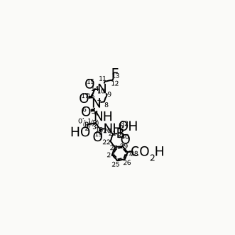 C[C@@H](O)[C@@H](NC(=O)N1CCN(CCF)C(=O)C1=O)C(=O)NC1Cc2cccc(C(=O)O)c2OB1O